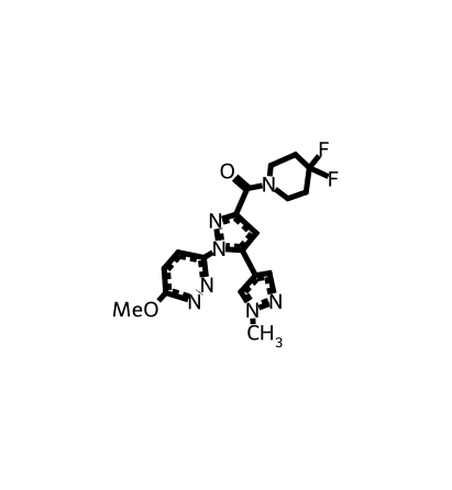 COc1ccc(-n2nc(C(=O)N3CCC(F)(F)CC3)cc2-c2cnn(C)c2)nn1